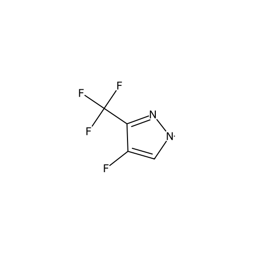 FC1=C[N]N=C1C(F)(F)F